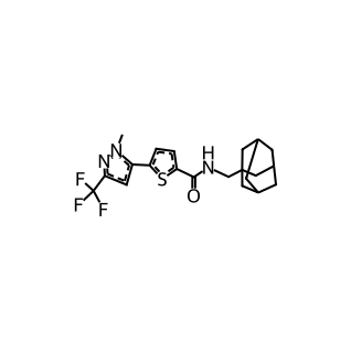 Cn1nc(C(F)(F)F)cc1-c1ccc(C(=O)NCC23CC4CC(CC(C4)C2)C3)s1